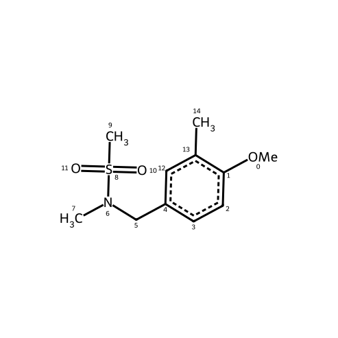 COc1ccc(CN(C)S(C)(=O)=O)cc1C